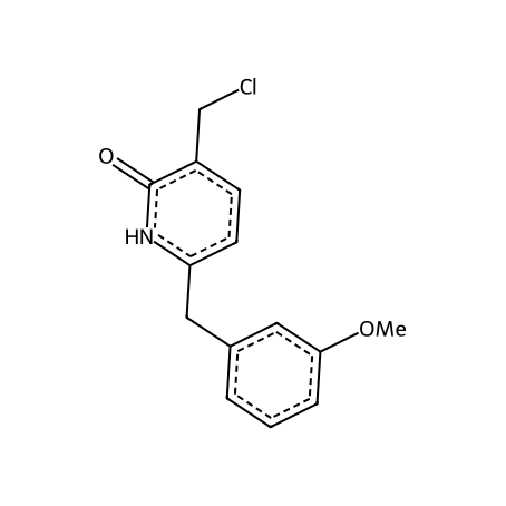 COc1cccc(Cc2ccc(CCl)c(=O)[nH]2)c1